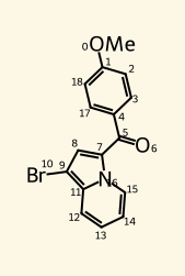 COc1ccc(C(=O)c2cc(Br)c3ccccn23)cc1